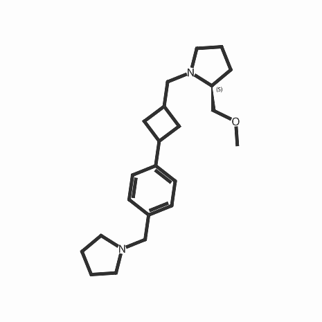 COC[C@@H]1CCCN1CC1CC(c2ccc(CN3CCCC3)cc2)C1